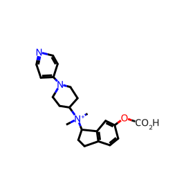 C[N+](C)(C1CCN(c2ccncc2)CC1)C1CCc2ccc(OC(=O)O)cc21